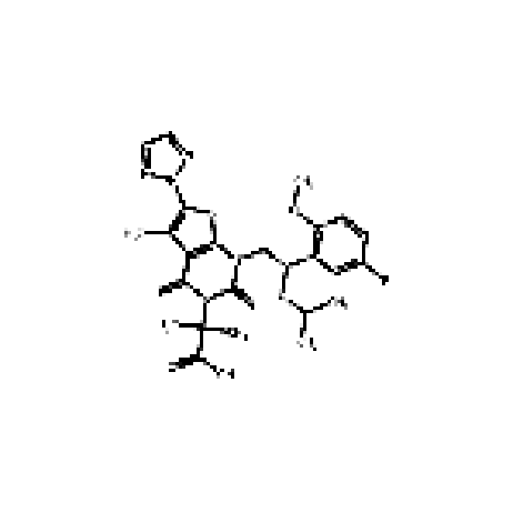 COc1ccc(F)cc1[C@H](Cn1c(=O)n(C(C)(C)C(=O)O)c(=O)c2c(C)c(-n3nccn3)sc21)OC(C)C